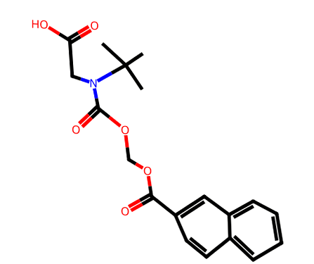 CC(C)(C)N(CC(=O)O)C(=O)OCOC(=O)c1ccc2ccccc2c1